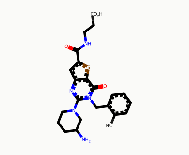 N#Cc1ccccc1Cn1c(N2CCCC(N)C2)nc2cc(C(=O)NCCC(=O)O)sc2c1=O